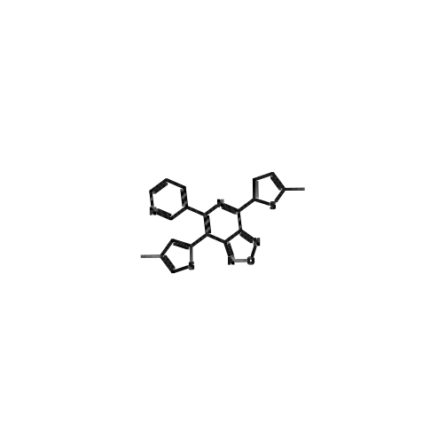 Cc1csc(-c2c(-c3cccnc3)nc(-c3ccc(C)s3)c3nonc23)c1